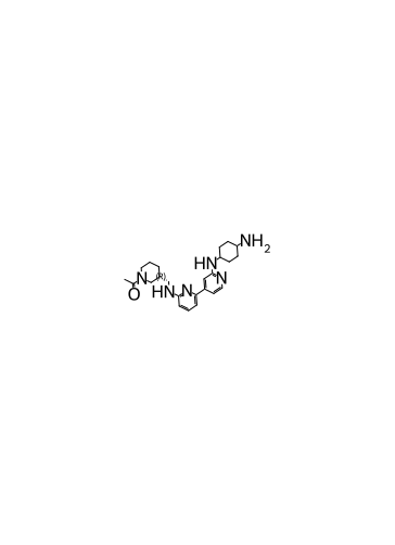 CC(=O)N1CCC[C@H](CNc2cccc(-c3ccnc(NC4CCC(N)CC4)c3)n2)C1